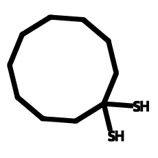 SC1(S)CCCCCCCCC1